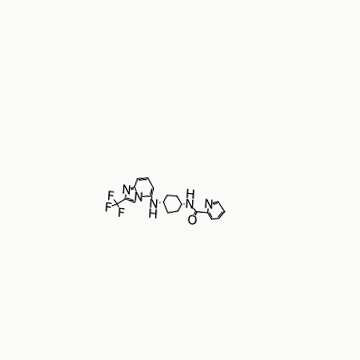 O=C(N[C@H]1CC[C@@H](Nc2cccc3nc(C(F)(F)F)cn23)CC1)c1ccccn1